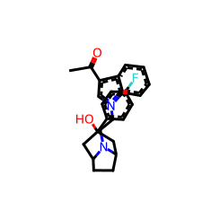 CC(=O)c1cn(CCN2C3CCC2CC(O)(c2ccc(F)cc2)C3)c2ccccc12